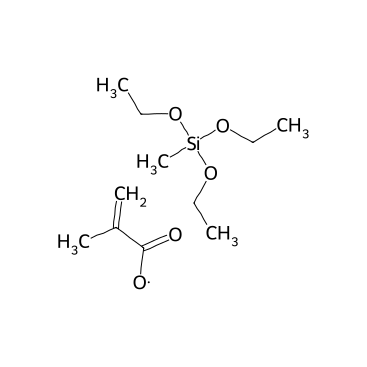 C=C(C)C([O])=O.CCO[Si](C)(OCC)OCC